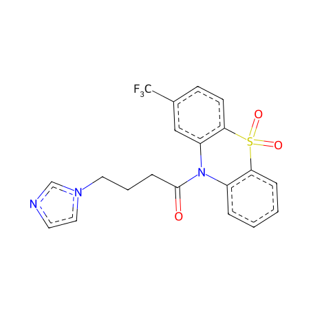 O=C(CCCn1ccnc1)N1c2ccccc2S(=O)(=O)c2ccc(C(F)(F)F)cc21